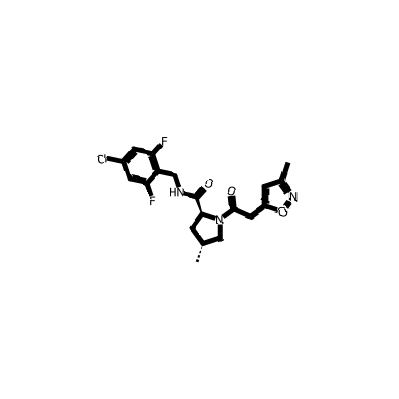 Cc1cc(CC(=O)N2C[C@H](C)C[C@H]2C(=O)NCc2c(F)cc(Cl)cc2F)on1